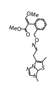 CO/C=C(/C(=O)OC)c1ccccc1CON=CCC1=C(C)SC2N(C)C=NN12